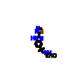 CC(C)(CNC=O)c1ccc2[nH]c(-c3nncs3)nc2c1